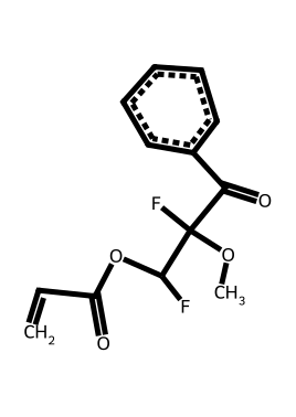 C=CC(=O)OC(F)C(F)(OC)C(=O)c1ccccc1